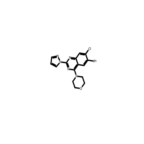 CC(C)c1cc2c(N3CCOCC3)nc(-n3cccn3)nc2cc1Cl